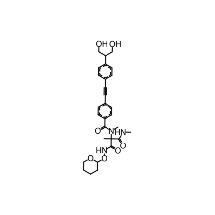 CNC(=O)C(C)(C(=O)NOC1CCCCO1)N(C)C(=O)c1ccc(C#Cc2ccc(C(CO)CO)cc2)cc1